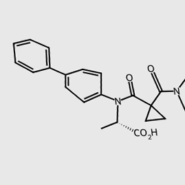 C[C@@H](C(=O)O)N(C(=O)C1(C(=O)N(C)C)CC1)c1ccc(-c2ccccc2)cc1